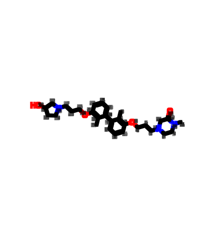 Cc1c(OCCCN2CCN(C)C(=O)C2)cccc1-c1cccc(OCCCN2CCC(O)C2)c1C